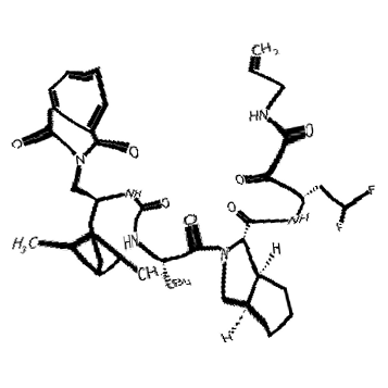 C=CCNC(=O)C(=O)[C@H](CC(F)F)NC(=O)[C@@H]1[C@H]2CCC[C@H]2CN1C(=O)[C@@H](NC(=O)N[C@H](CN1C(=O)c2ccccc2C1=O)C12C(C)C1C2C)C(C)(C)C